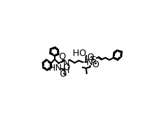 COC(=O)N[C@H](C(=O)NCCCC[C@@H](CO)N(CC(C)C)S(=O)(=O)/C=C/CCc1ccccc1)C(c1ccccc1)c1ccccc1